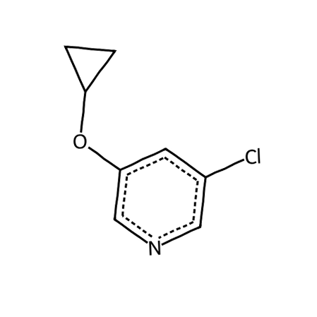 Clc1cncc(OC2CC2)c1